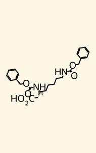 O=C(O)C[C@@H](CCCCCNC(=O)OCc1ccccc1)NC(=O)OCc1ccccc1